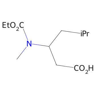 CCOC(=O)N(C)C(CC(=O)O)CC(C)C